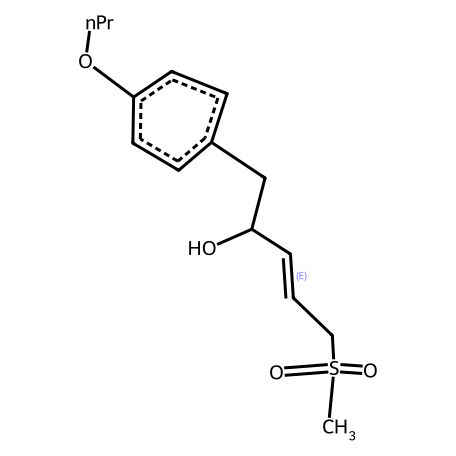 CCCOc1ccc(CC(O)/C=C/CS(C)(=O)=O)cc1